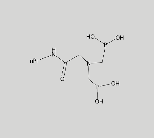 CCCNC(=O)CN(CP(O)O)CP(O)O